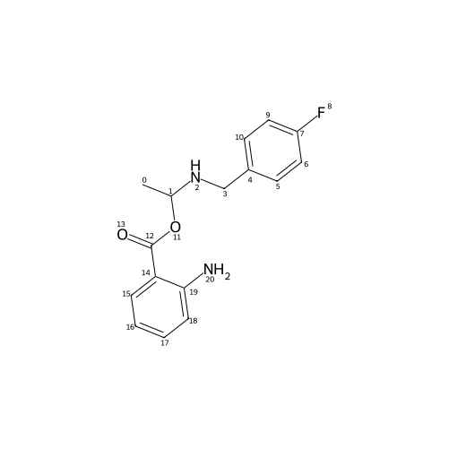 CC(NCc1ccc(F)cc1)OC(=O)c1ccccc1N